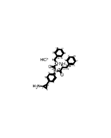 Cl.NC1CC1c1ccc(N(C(=O)OCc2ccccc2)C(=O)[C@H](N)Cc2ccccc2)cc1